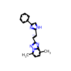 Cc1ccc(C)n2nc(/C=C/c3nc(-c4ccccc4)c[nH]3)nc12